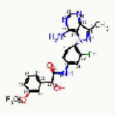 Cc1nn(-c2ccc(NC(=O)C(O)c3cccc(OC(F)(F)F)c3)cc2F)c2c(N)ncnc12